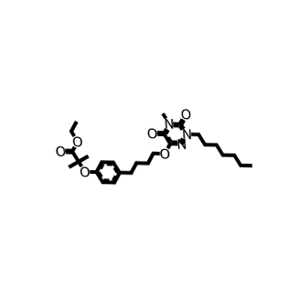 CCCCCCCn1nc(OCCCCc2ccc(OC(C)(C)C(=O)OCC)cc2)c(=O)n(C)c1=O